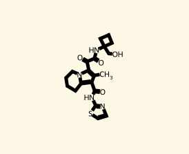 Cc1c(C(=O)Nc2nccs2)c2n(c1C(=O)C(=O)NC1(CO)CCC1)CCCC2